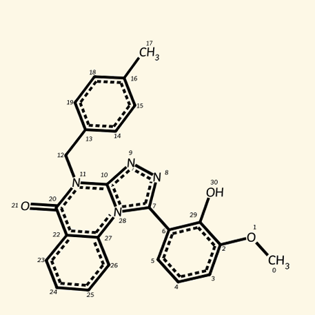 COc1cccc(-c2nnc3n(Cc4ccc(C)cc4)c(=O)c4ccccc4n23)c1O